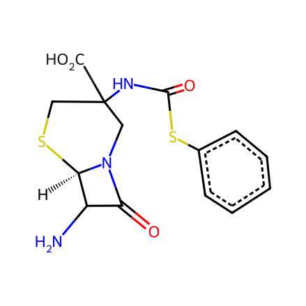 NC1C(=O)N2CC(NC(=O)Sc3ccccc3)(C(=O)O)CS[C@H]12